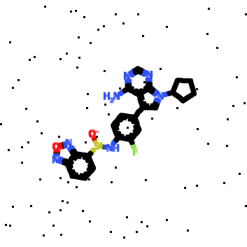 Nc1ncnc2c1c(-c1ccc(N[S+]([O-])c3cccc4nonc34)c(F)c1)cn2C1CCCC1